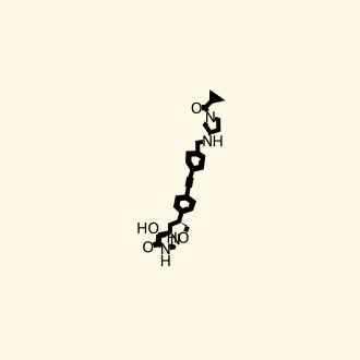 O=C(C1CC1)N1CC[C@@H](NCc2ccc(C#Cc3ccc([C@H](CO)Cc4nc[nH]c(=O)c4O)cc3)cc2)C1